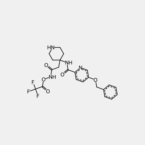 O=C(CC1(NC(=O)c2ccc(OCc3ccccc3)cn2)CCNCC1)NOC(=O)C(F)(F)F